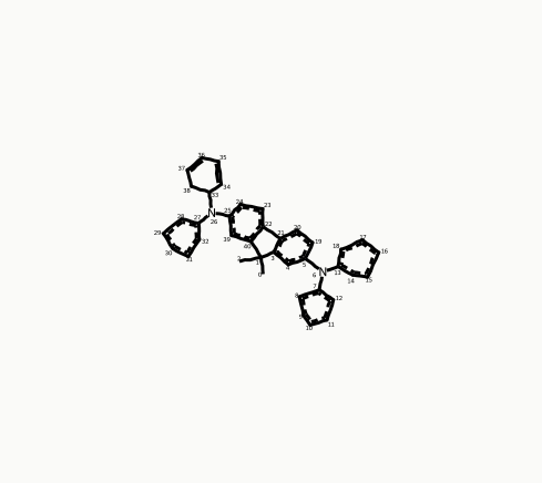 CC1(C)c2cc(N(c3ccccc3)c3ccccc3)ccc2-c2ccc(N(c3ccccc3)C3C=CC=CC3)cc21